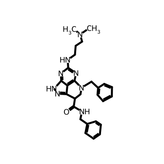 CN(C)CCCNc1nc2c3c(n[nH]c3n1)C(C(=O)NCc1ccccc1)CN2Cc1ccccc1